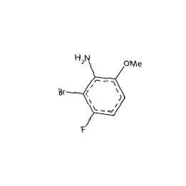 COc1ccc(F)c(Br)c1N